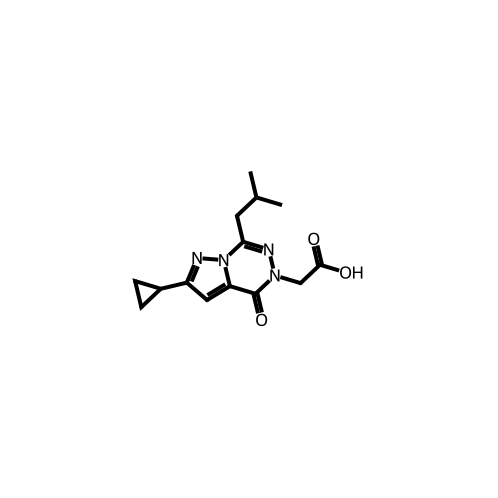 CC(C)Cc1nn(CC(=O)O)c(=O)c2cc(C3CC3)nn12